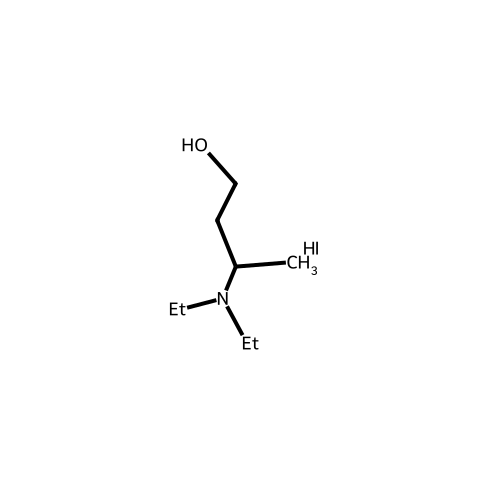 CCN(CC)C(C)CCO.I